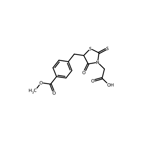 COC(=O)c1ccc(CC2SC(=S)N(CC(=O)O)C2=O)cc1